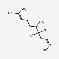 CC(C)=CCCC(C)C(C)(C)C/C=N\O